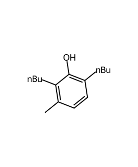 CCCCc1ccc(C)c(CCCC)c1O